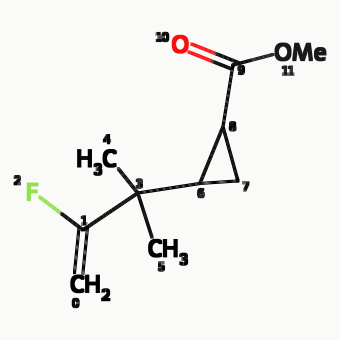 C=C(F)C(C)(C)C1CC1C(=O)OC